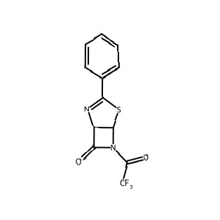 O=C1C2N=C(c3ccccc3)SC2N1C(=O)C(F)(F)F